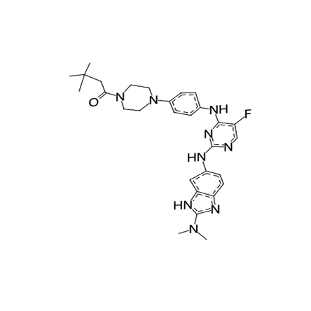 CN(C)c1nc2ccc(Nc3ncc(F)c(Nc4ccc(N5CCN(C(=O)CC(C)(C)C)CC5)cc4)n3)cc2[nH]1